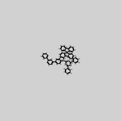 c1ccc(-c2cccc(-c3ccc4c(c3)c3ccc5c(c3n4-c3nc(-c4ccccc4)nc(-c4ccccc4)n3)-c3ccccc3C53c4ccccc4-c4ccccc43)c2)cc1